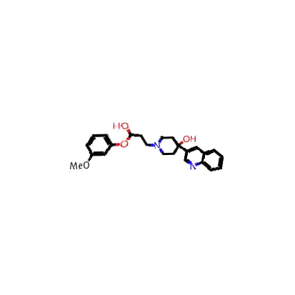 COc1cccc(OC(O)CCN2CCC(O)(c3cnc4ccccc4c3)CC2)c1